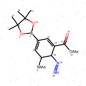 CNC1C=C(B2OC(C)(C)C(C)(C)O2)C=C(C(=O)OC)C1N=N